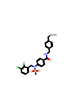 CC(=O)NCc1ccc(CNC(=O)c2ccc(N(Cc3cccc(Cl)c3Cl)S(C)(=O)=O)cc2)cc1